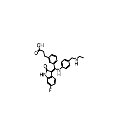 CCNCc1ccc(NC(=C2C(=O)Nc3cc(F)ccc32)c2cccc(CCC(=O)O)c2)cc1